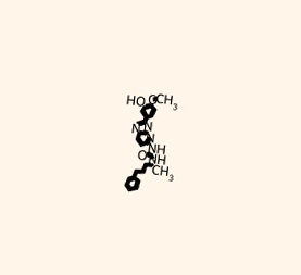 COc1ccc(-c2cnc3ccc(NC(=O)NC(C)CCCc4ccccc4)nc3n2)cc1O